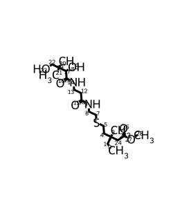 CCC(C)(CCSCCNC(=O)CCNC(=O)C(O)C(C)(C)CO)CC(=O)OC